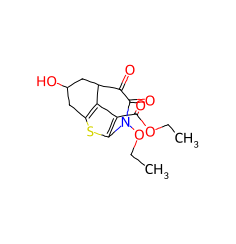 CCOC(=O)c1c2sc3c1C(CC(O)C3)C(=O)C(=O)N2OCC